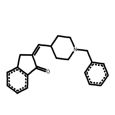 O=C1C(=CC2CCN(Cc3ccccc3)CC2)Cc2ccccc21